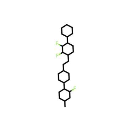 CC1CCC(C2CCC(CCC3CCC(C4CCCCC4)C(F)C3F)CC2)C(F)C1